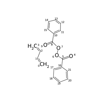 C=CC=C.O=C(OOC(=O)c1ccccc1)c1ccccc1